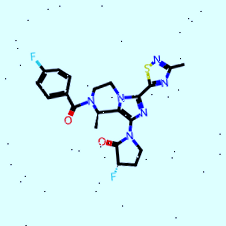 Cc1nsc(-c2nc(N3CC[C@H](F)C3=O)c3n2CCN(C(=O)c2ccc(F)cc2)[C@@H]3C)n1